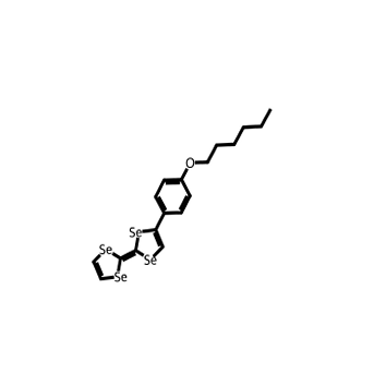 CCCCCCOc1ccc(C2=C[Se]C(=C3[Se]C=C[Se]3)[Se]2)cc1